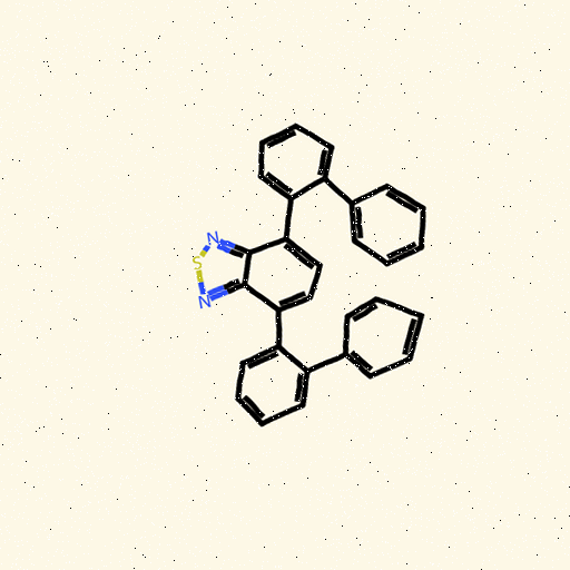 c1ccc(-c2ccccc2-c2ccc(-c3ccccc3-c3ccccc3)c3nsnc23)cc1